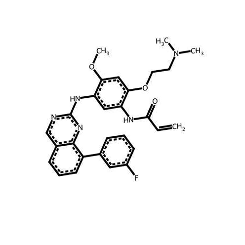 C=CC(=O)Nc1cc(Nc2ncc3cccc(-c4cccc(F)c4)c3n2)c(OC)cc1OCCN(C)C